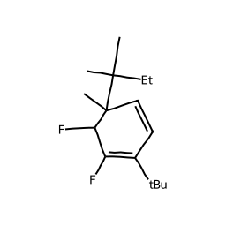 CCC(C)(C)C1(C)C=CC(C(C)(C)C)=C(F)C1F